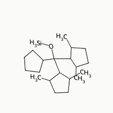 CC1CCC(C)C1C(O[SiH3])(C1CCCC1)C1C(C)CCC1C